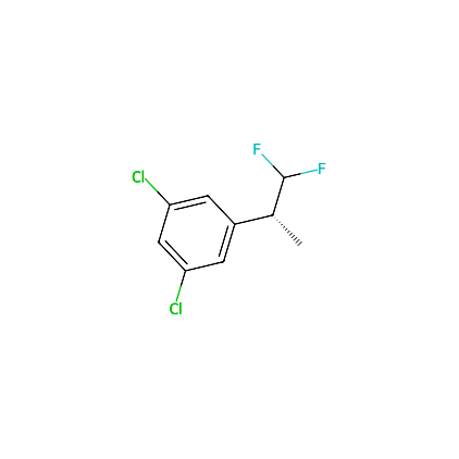 C[C@H](c1cc(Cl)cc(Cl)c1)C(F)F